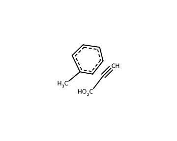 C#CC(=O)O.Cc1ccccc1